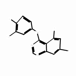 Fc1cc(F)c2c(Nc3ccc(F)c(Cl)c3)ncnc2c1